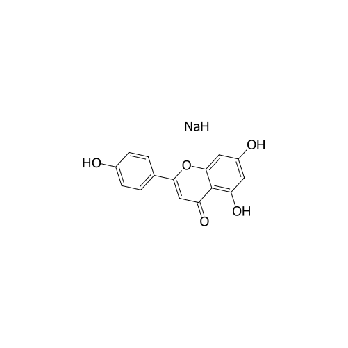 O=c1cc(-c2ccc(O)cc2)oc2cc(O)cc(O)c12.[NaH]